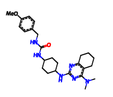 COc1ccc(CNC(=O)NC2CCC(Nc3nc4c(c(N(C)C)n3)CCCC4)CC2)cc1